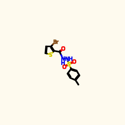 Cc1ccc(S(=O)(=O)NNC(=O)c2sccc2Br)cc1